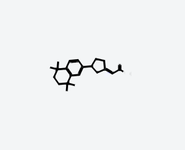 CC1(C)CCC(C)(C)c2cc(C3CC/C(=C\C(=O)O)C3)ccc21